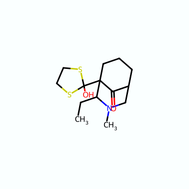 CCC1N(C)CC2CCCC1(C1(O)SCCS1)C2=O